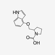 O=C(O)N1CCCC1COc1cccc2[nH]ccc12